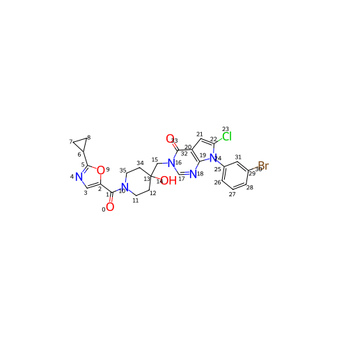 O=C(c1cnc(C2CC2)o1)N1CCC(O)(Cn2cnc3c(cc(Cl)n3-c3cccc(Br)c3)c2=O)CC1